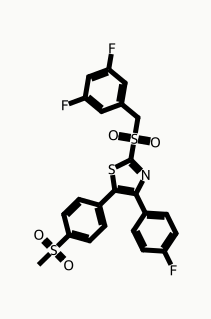 CS(=O)(=O)c1ccc(-c2sc(S(=O)(=O)Cc3cc(F)cc(F)c3)nc2-c2ccc(F)cc2)cc1